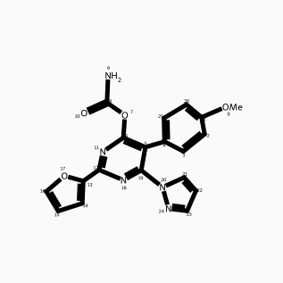 COc1ccc(-c2c(OC(N)=O)nc(-c3ccco3)nc2-n2cccn2)cc1